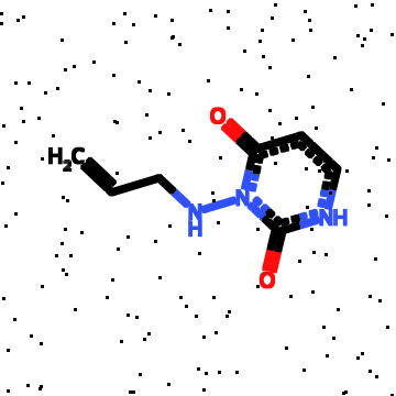 C=CCNn1c(=O)cc[nH]c1=O